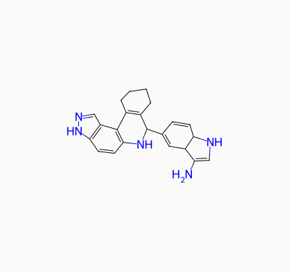 NC1=CNC2C=CC(C3Nc4ccc5[nH]ncc5c4C4=C3CCCC4)=CC12